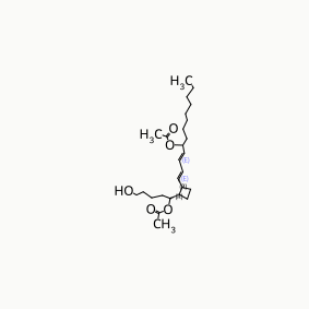 CCCCCCCCC(/C=C/C=C/[C@H]1CC[C@H]1C(CCCCO)OC(C)=O)OC(C)=O